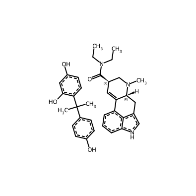 CC(C)(c1ccc(O)cc1)c1ccc(O)cc1O.CCN(CC)C(=O)[C@@H]1C=C2c3cccc4[nH]cc(c34)C[C@H]2N(C)C1